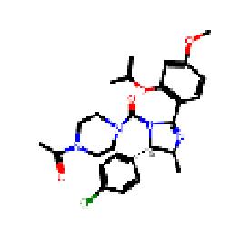 COc1ccc(C2=NC(C)[C@H](c3ccc(Cl)cc3)N2C(=O)N2CCN(C(C)=O)CC2)c(OC(C)C)c1